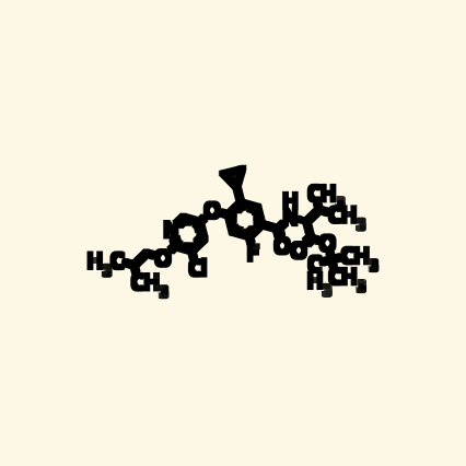 CC(C)COc1ncc(Oc2cc(F)c(C(=O)N[C@H](C(=O)OC(C)(C)C)C(C)C)cc2C2CC2)cc1Cl